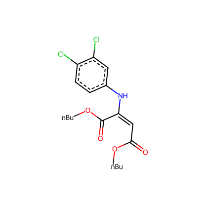 CCCCOC(=O)C=C(Nc1ccc(Cl)c(Cl)c1)C(=O)OCCCC